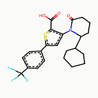 O=C(O)c1sc(-c2ccc(C(F)(F)F)cc2)cc1N1C(=O)CCCC1C1CCCCC1